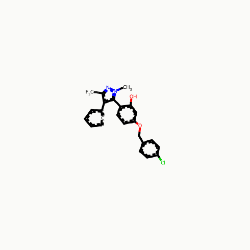 Cn1nc(C(F)(F)F)c(-c2ccccc2)c1-c1ccc(OCc2ccc(Cl)cc2)cc1O